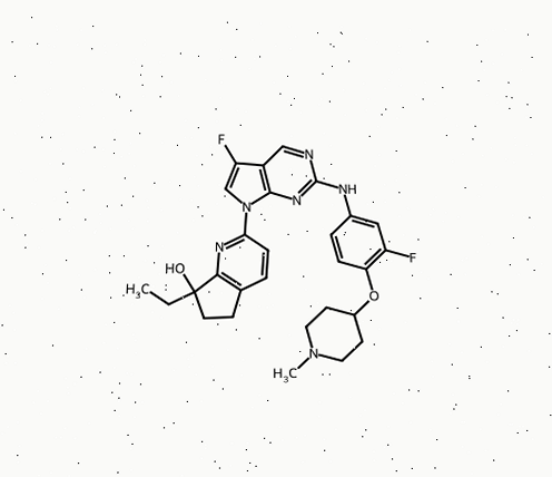 CCC1(O)CCc2ccc(-n3cc(F)c4cnc(Nc5ccc(OC6CCN(C)CC6)c(F)c5)nc43)nc21